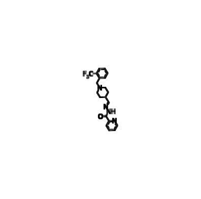 O=C(NN=CC1CCN(Cc2ccccc2C(F)(F)F)CC1)c1ccccn1